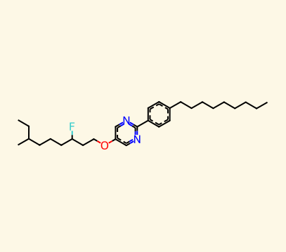 CCCCCCCCCc1ccc(-c2ncc(OCCC(F)CCCC(C)CC)cn2)cc1